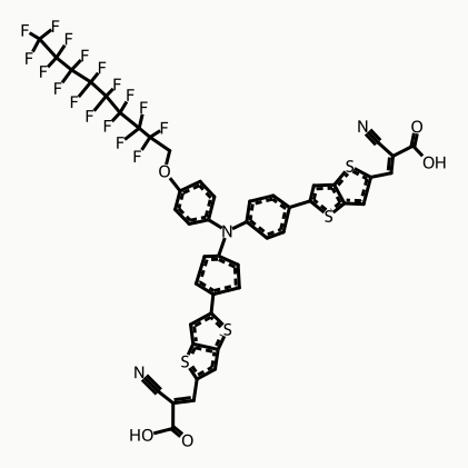 N#C/C(=C\c1cc2sc(-c3ccc(N(c4ccc(OCC(F)(F)C(F)(F)C(F)(F)C(F)(F)C(F)(F)C(F)(F)C(F)(F)C(F)(F)F)cc4)c4ccc(-c5cc6sc(/C=C(\C#N)C(=O)O)cc6s5)cc4)cc3)cc2s1)C(=O)O